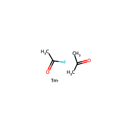 CC(=O)F.CC(C)=O.[Tm]